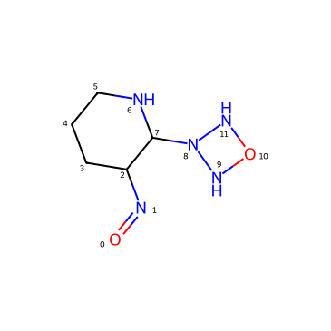 O=NC1CCCNC1N1NON1